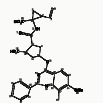 C=CC1CC1(NC(=O)C1CC(Oc2nc(-c3ccccc3)nc3c(C)c(OC)ccc23)CC1C(=O)O)C(=O)OCC